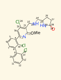 COc1nc(-c2cccc(-c3ccccc3Cl)c2Cl)cc(Cl)c1CNCC1CCC(=O)N1